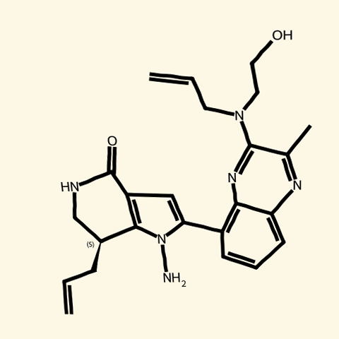 C=CC[C@H]1CNC(=O)c2cc(-c3cccc4nc(C)c(N(CC=C)CCO)nc34)n(N)c21